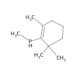 CPC1=C(C)CCCC1(C)C